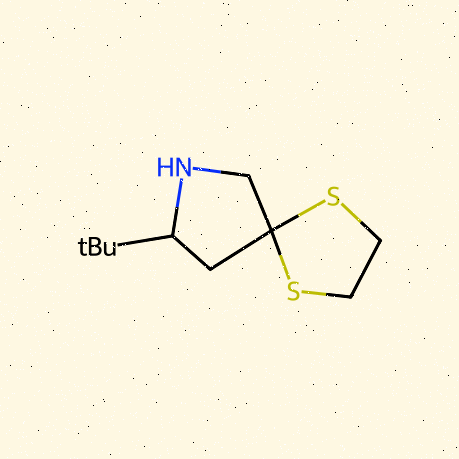 CC(C)(C)C1CC2(CN1)SCCS2